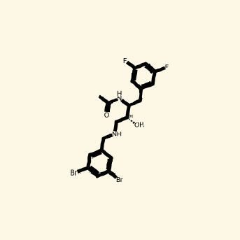 CC(=O)NC(Cc1cc(F)cc(F)c1)[C@H](O)CNCc1cc(Br)cc(Br)c1